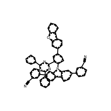 N#Cc1cccc(-c2ccc3c4ccc(-c5cccc(C#N)c5)cc4n(-c4ccc(-c5ccc6c(c5)oc5ccccc56)cc4-c4nc(-c5ccccc5)nc(-c5ccccc5)n4)c3c2)c1